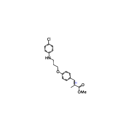 COC(=O)/C(C)=C/c1ccc(OCCCNc2ccc(Cl)cc2)cc1